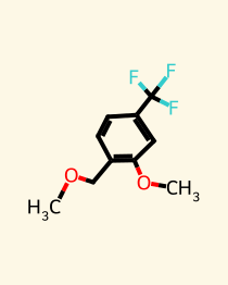 COCc1ccc(C(F)(F)F)cc1OC